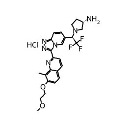 COCCOc1ccc2ccc(-c3nnc4ccc([C@@H](N5CC[C@H](N)C5)C(F)(F)F)cn34)nc2c1C.Cl